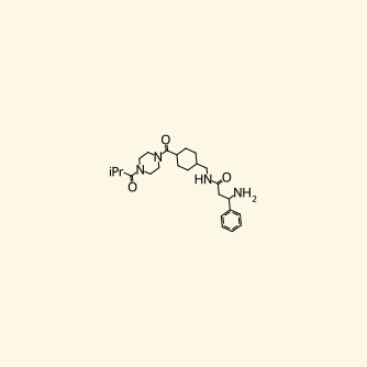 CC(C)C(=O)N1CCN(C(=O)C2CCC(CNC(=O)CC(N)c3ccccc3)CC2)CC1